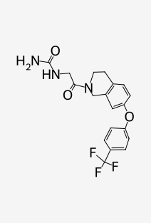 NC(=O)NCC(=O)N1CCc2ccc(Oc3ccc(C(F)(F)F)cc3)cc2C1